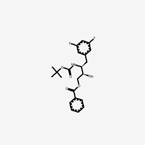 CC(C)(C)OC(=O)N[C@@H](Cc1cc(F)cc(F)c1)[C@@H](O)COC(=O)c1ccccc1